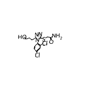 NC(=O)CSc1nnc(CCCO)n1-c1ccc(Cl)cc1Cl